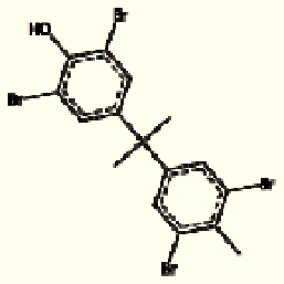 Cc1c(Br)cc(C(C)(C)c2cc(Br)c(O)c(Br)c2)cc1Br